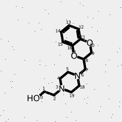 OCCN1CCN(CC2COc3ccccc3O2)CC1